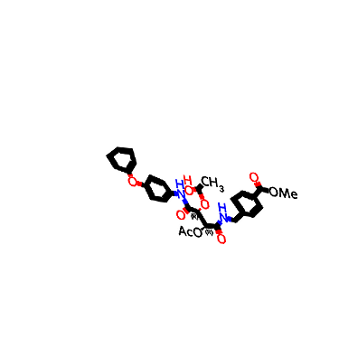 COC(=O)c1ccc(CNC(=O)[C@H](OC(C)=O)[C@@H](OC(C)O)C(=O)Nc2ccc(Oc3ccccc3)cc2)cc1